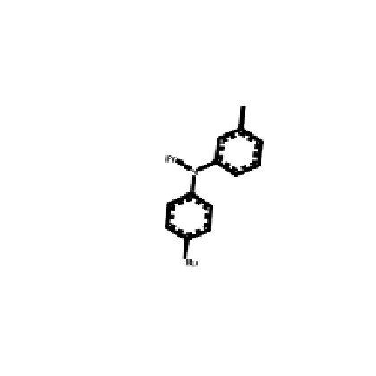 Cc1cccc(N(c2ccc(C(C)(C)C)cc2)C(C)C)c1